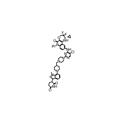 CC(C)n1c(=O)c2c(c3cc(Nc4nc(N5CCN(CC6CCN(c7cccc8c(C9CCC(=O)NC9=O)nn(C)c78)CC6)CC5)ncc4Cl)ccc31)N[C@@H](C1CC1)C(F)(F)CO2